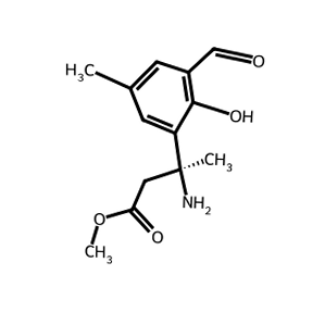 COC(=O)C[C@](C)(N)c1cc(C)cc(C=O)c1O